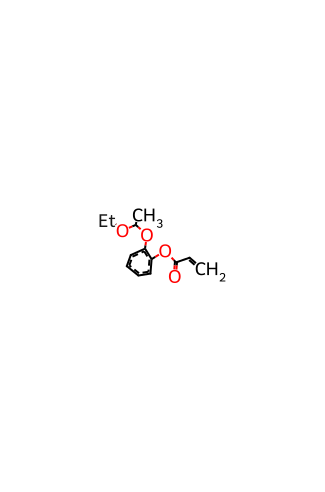 C=CC(=O)Oc1ccccc1OC(C)OCC